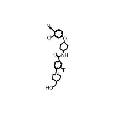 N#Cc1ccc(OC2CCC(NC(=O)c3ccc(N4CCC(CO)CC4)c(F)c3)CC2)cc1Cl